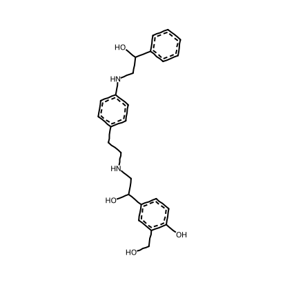 OCc1cc(C(O)CNCCc2ccc(NCC(O)c3ccccc3)cc2)ccc1O